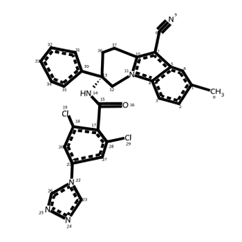 Cc1ccc2c(c1)c(C#N)c1n2C[C@@](NC(=O)c2c(Cl)cc(-n3cnnc3)cc2Cl)(c2ccccc2)CC1